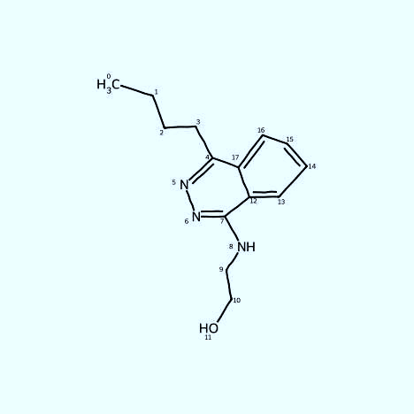 CCCCc1nnc(NCCO)c2ccccc12